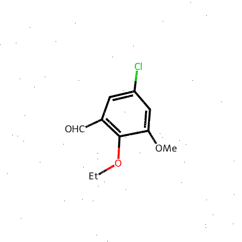 CCOc1c(C=O)cc(Cl)cc1OC